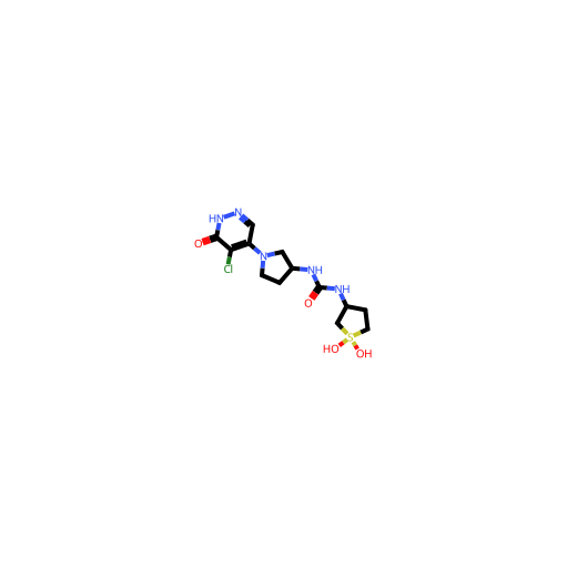 O=C(NC1CCN(c2cn[nH]c(=O)c2Cl)C1)NC1CCS(O)(O)C1